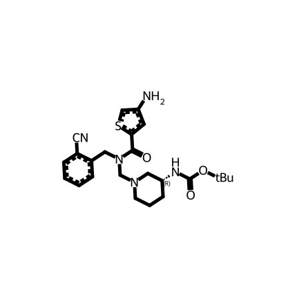 CC(C)(C)OC(=O)N[C@@H]1CCCN(CN(Cc2ccccc2C#N)C(=O)c2cc(N)cs2)C1